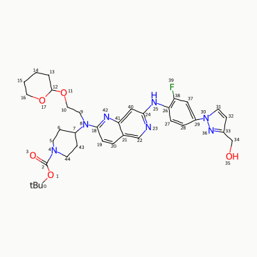 CC(C)(C)OC(=O)N1CCC(N(CCOC2CCCCO2)c2ccc3cnc(Nc4ccc(-n5ccc(CO)n5)cc4F)cc3n2)CC1